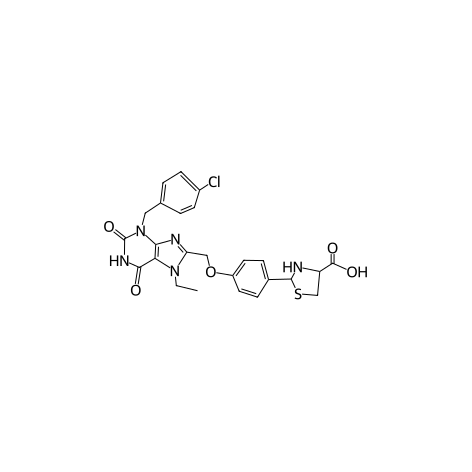 CCn1c(COc2ccc(C3NC(C(=O)O)CS3)cc2)nc2c1c(=O)[nH]c(=O)n2Cc1ccc(Cl)cc1